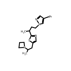 CC(C)c1cnn(CCC(C)c2ncc(CC(C)N3CCC3)s2)c1